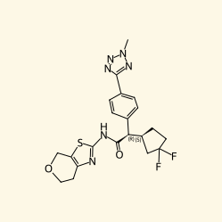 Cn1nnc(-c2ccc([C@H](C(=O)Nc3nc4c(s3)COCC4)[C@H]3CCC(F)(F)C3)cc2)n1